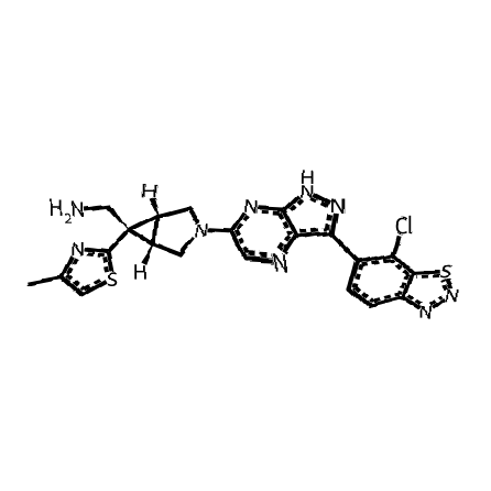 Cc1csc([C@]2(CN)[C@@H]3CN(c4cnc5c(-c6ccc7nnsc7c6Cl)n[nH]c5n4)C[C@@H]32)n1